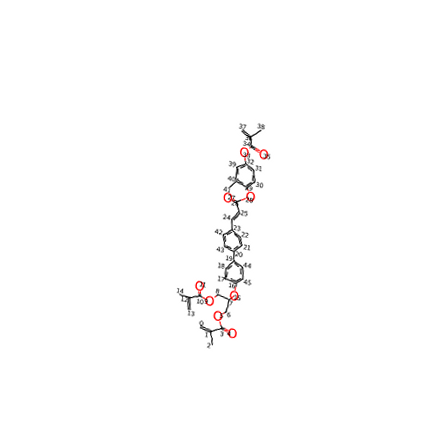 C=C(C)C(=O)OCC(COC(=O)C(=C)C)Oc1ccc(-c2ccc(/C=C/C(=O)Oc3ccc(OC(=O)C(=C)C)cc3C)cc2)cc1